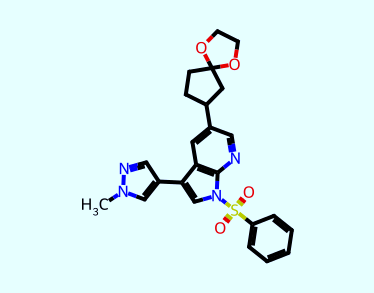 Cn1cc(-c2cn(S(=O)(=O)c3ccccc3)c3ncc(C4CCC5(C4)OCCO5)cc23)cn1